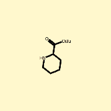 CC(C)COC(=O)C1CCCCN1